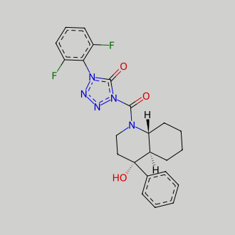 O=C(N1CC[C@](O)(c2ccccc2)[C@@H]2CCCC[C@H]21)n1nnn(-c2c(F)cccc2F)c1=O